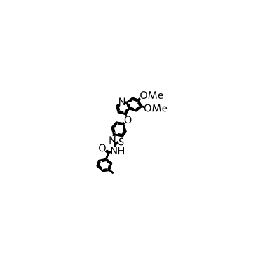 COc1cc2nccc(Oc3ccc4nc(NC(=O)c5cccc(C)c5)sc4c3)c2cc1OC